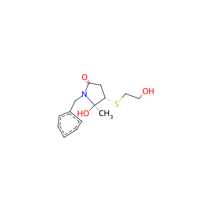 C[C@@]1(O)[C@@H](SCCO)CC(=O)N1Cc1ccccc1